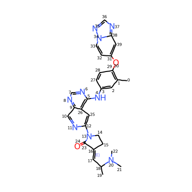 Cc1cc(Nc2ncnc3cnc(N4CC/C(=C\C(C)N(C)C)C4=O)cc23)ccc1Oc1ccn2ncnc2c1